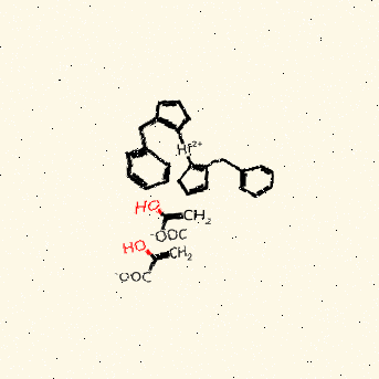 C1=CC(Cc2ccccc2)=[C]([Hf+2][C]2=C(Cc3ccccc3)C=CC2)C1.C=C(O)C(=O)[O-].C=C(O)C(=O)[O-]